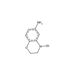 CCN1CCOc2ccc(N)cc21